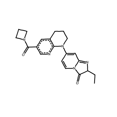 CCC1N=C2C=C(N3CCCc4cc(C(=O)N5CCC5)cnc43)C=CN2C1=O